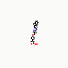 CC(CC(=O)O)c1ccc(OCc2cnc(CN3CCC4(CCc5ccccc54)CC3)s2)cc1